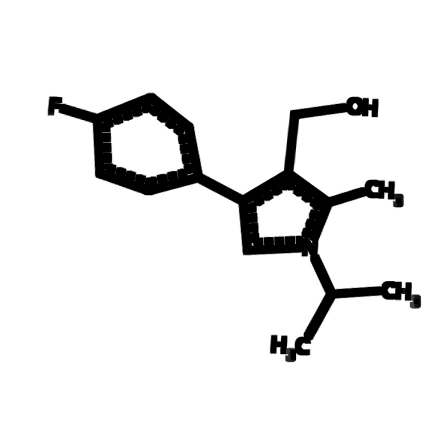 Cc1c(CO)c(-c2ccc(F)cc2)cn1C(C)C